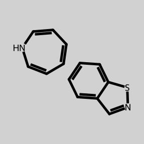 C1=CC=CNC=C1.c1ccc2sncc2c1